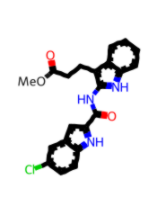 COC(=O)CCc1c(NC(=O)c2cc3cc(Cl)ccc3[nH]2)[nH]c2ccccc12